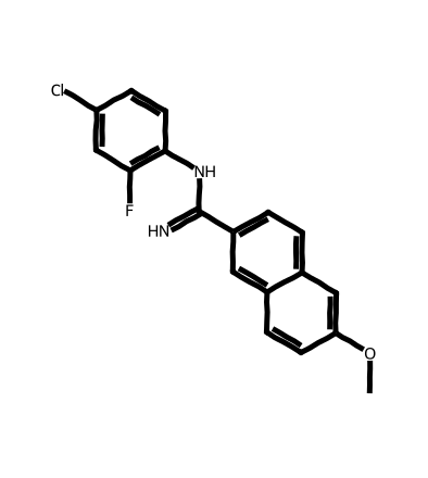 COc1ccc2cc(C(=N)Nc3ccc(Cl)cc3F)ccc2c1